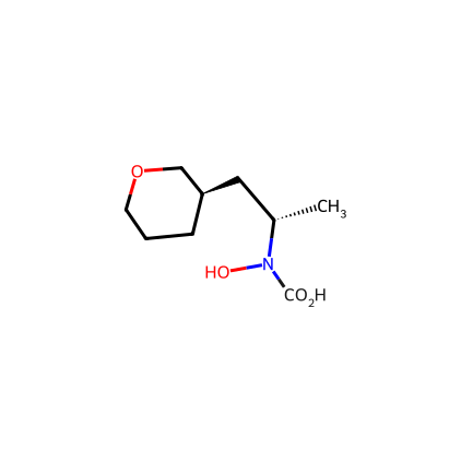 C[C@@H](C[C@H]1CCCOC1)N(O)C(=O)O